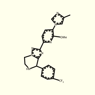 COc1nc(-c2nc3n(n2)CCNC3c2ccc(C(F)(F)F)cc2)ccc1-n1cnc(C)c1